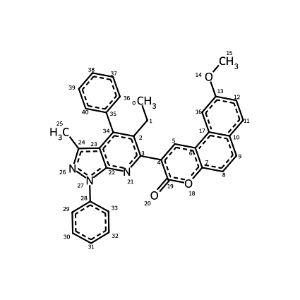 CCc1c(-c2cc3c(ccc4ccc(OC)cc43)oc2=O)nc2c(c(C)nn2-c2ccccc2)c1-c1ccccc1